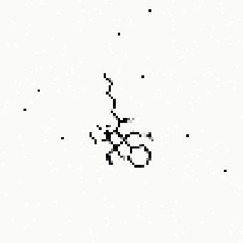 CCCCCC(=O)C(CC)C(CN)(C1CCCCC1)C(N)(C=O)C(=O)OC